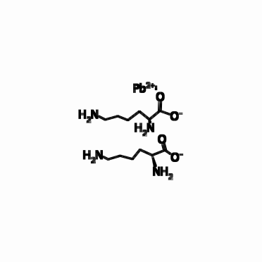 NCCCC[C@H](N)C(=O)[O-].NCCCC[C@H](N)C(=O)[O-].[Pb+2]